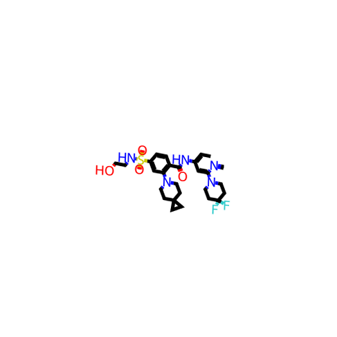 C=N/C(=C\C(=C/C)NC(=O)c1ccc(S(=O)(=O)NCCO)cc1N1CCC2(CC1)CC2)N1CCC(F)(F)CC1